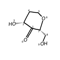 O=C1[C@H](O)CCO[C@@H]1CO